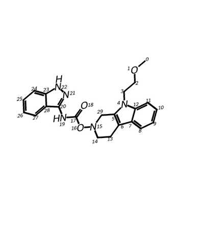 COCCn1c2c(c3ccccc31)CCN(OC(=O)Nc1n[nH]c3ccccc13)C2